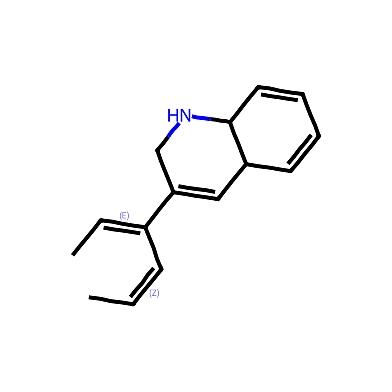 C/C=C\C(=C/C)C1=CC2C=CC=CC2NC1